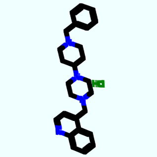 Cl.c1ccc(CN2CCC(N3CCN(Cc4ccnc5ccccc45)CC3)CC2)cc1